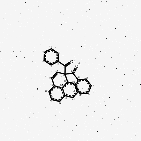 O=C(c1ccccc1)C1(C(=O)c2ccccc2)C=Cc2cccc3cccc1c23